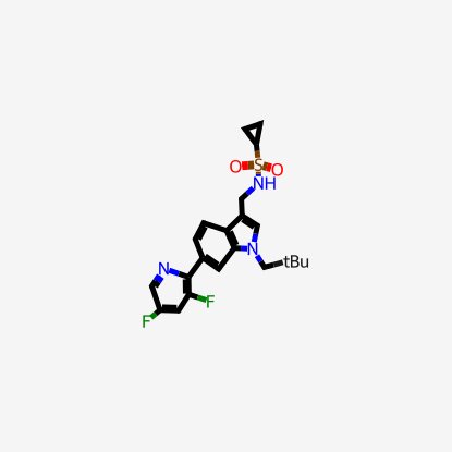 CC(C)(C)Cn1cc(CNS(=O)(=O)C2CC2)c2ccc(-c3ncc(F)cc3F)cc21